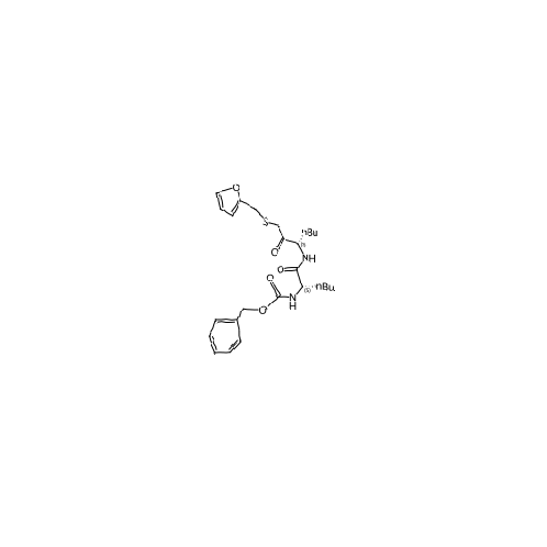 CCCC[C@H](NC(=O)[C@H](CCCC)NC(=O)OCc1ccccc1)C(=O)CSCc1ccco1